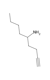 C#CCCC(N)CCCC